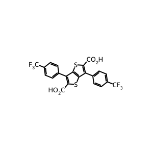 O=C(O)c1sc2c(-c3ccc(C(F)(F)F)cc3)c(C(=O)O)sc2c1-c1ccc(C(F)(F)F)cc1